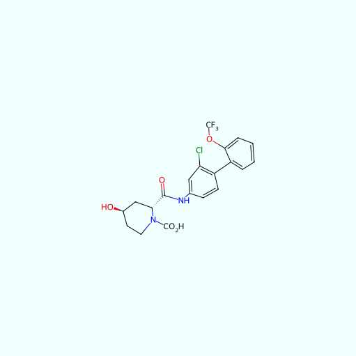 O=C(Nc1ccc(-c2ccccc2OC(F)(F)F)c(Cl)c1)[C@H]1C[C@H](O)CCN1C(=O)O